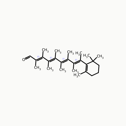 CC1=C(/C(C)=C(C)/C(C)=C(C)/C(C)=C(C)/C(C)=C(\C)C=O)C(C)(C)CCC1